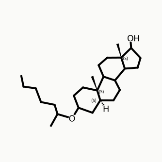 CCCCCC(C)OC1CC[C@]2(C)C3CC[C@]4(C)C(O)CCC4C3CC[C@H]2C1